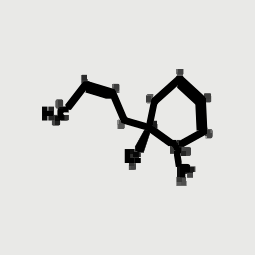 C/C=C\C[C@]1(CC)CC=C=CN1C(C)C